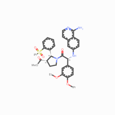 CCOc1cc([C@@H](Nc2ccc3c(N)nccc3c2)C(=O)N2CC[C@H](C(=O)OC)[C@@H]2c2ccccc2S(=O)(=O)C(C)C)ccc1OC(C)C